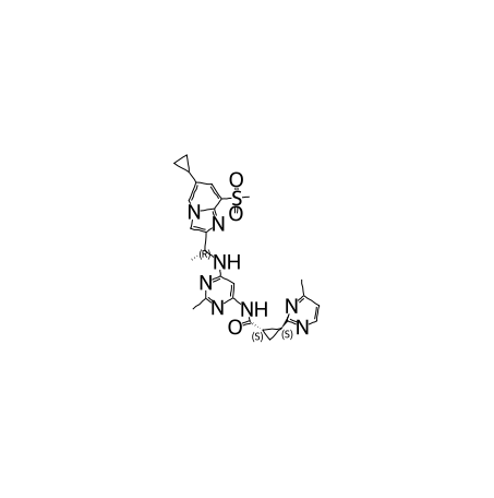 Cc1ccnc([C@H]2C[C@@H]2C(=O)Nc2cc(N[C@H](C)c3cn4cc(C5CC5)cc(S(C)(=O)=O)c4n3)nc(C)n2)n1